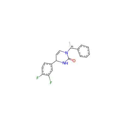 C[C@H](c1ccccc1)N1C=CC(c2ccc(F)c(F)c2)NC1=O